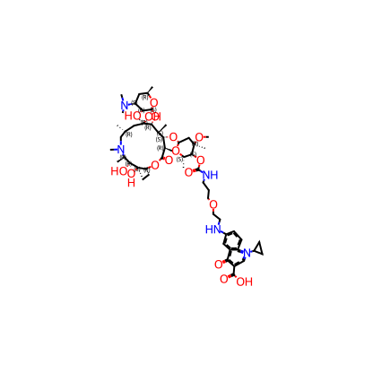 CC[C@H]1OC(=O)[C@H](C)[C@@H](OC2C[C@@](C)(OC)[C@@H](OC(=O)NCCCOCCNc3ccc4c(c3)c(=O)c(C(=O)O)cn4C3CC3)[C@H](C)O2)[C@H](C)[C@@H](O[C@@H]2O[C@H](C)C[C@H](N(C)C)[C@H]2O)[C@](C)(O)C[C@@H](C)CN(C)[C@H](C)[C@@H](O)[C@]1(C)O